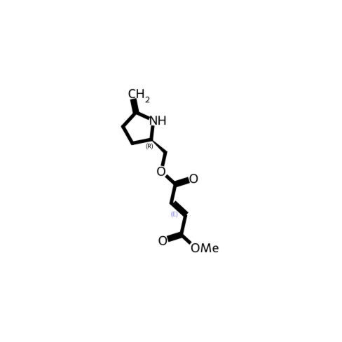 C=C1CC[C@H](COC(=O)/C=C/C(=O)OC)N1